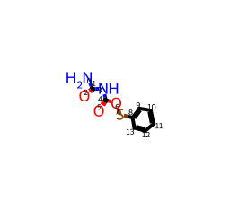 NC(=O)NC(=O)OSc1ccccc1